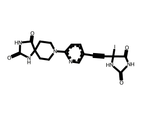 O=C1NC(=O)C(I)(C#Cc2ccc(N3CCC4(CC3)NC(=O)NC4=O)nc2)N1